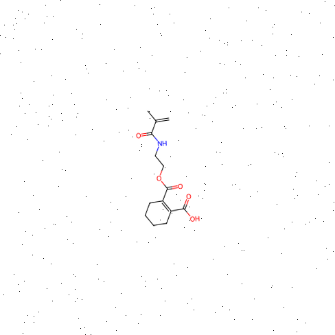 C=C(C)C(=O)NCCOC(=O)C1=C(C(=O)O)CCCC1